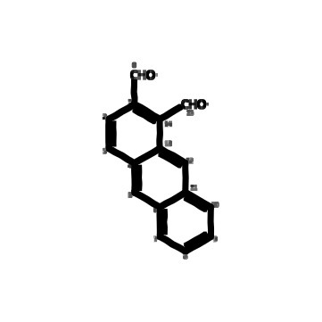 O=[C]c1ccc2cc3ccccc3cc2c1[C]=O